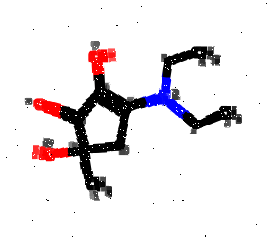 CCN(CC)C1=C(O)C(=O)C(C)(O)C1